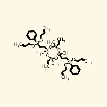 C=CCO[Si](CC[Si]1(C)O[Si](C)(C=C)O[Si](C)(CC[Si](OCC=C)(OCC=C)c2ccccc2)O[Si](C)(C=C)O1)(OCC=C)c1ccccc1